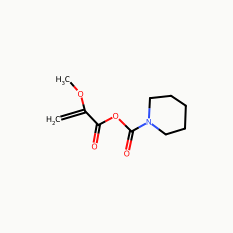 C=C(OC)C(=O)OC(=O)N1CCCCC1